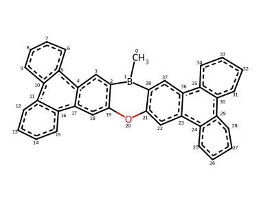 CB1c2cc3c4ccccc4c4ccccc4c3cc2Oc2cc3c4ccccc4c4ccccc4c3cc21